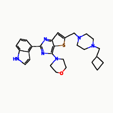 c1cc(-c2nc(N3CCOCC3)c3sc(CN4CCN(CC5CCC5)CC4)cc3n2)c2cc[nH]c2c1